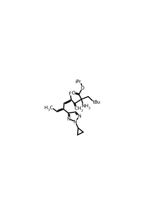 C=C(/C(F)=C\C(=C/C)c1cnn(C2CC2)n1)C(N)(CC(C)(C)C)C(=O)OC(C)C